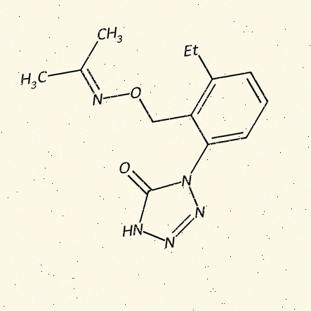 CCc1cccc(-n2nn[nH]c2=O)c1CON=C(C)C